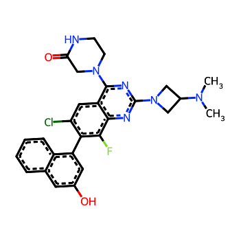 CN(C)C1CN(c2nc(N3CCNC(=O)C3)c3cc(Cl)c(-c4cc(O)cc5ccccc45)c(F)c3n2)C1